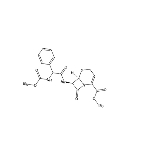 CC(C)(C)OC(=O)NC(C(=O)N[C@@H]1C(=O)N2C(C(=O)OC(C)(C)C)=CCS[C@H]12)c1ccccc1